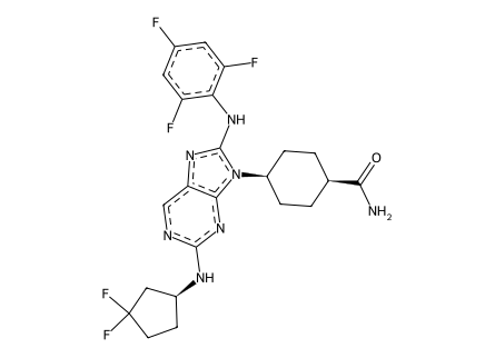 NC(=O)[C@H]1CC[C@@H](n2c(Nc3c(F)cc(F)cc3F)nc3cnc(N[C@H]4CCC(F)(F)C4)nc32)CC1